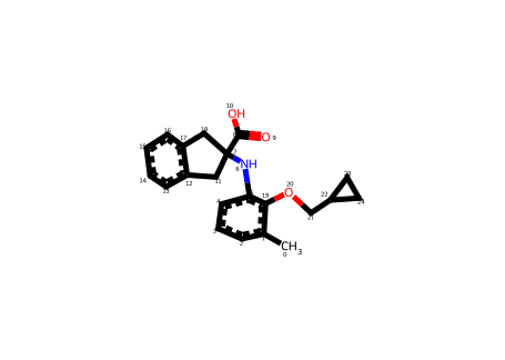 Cc1cccc(NC2(C(=O)O)Cc3ccccc3C2)c1OCC1CC1